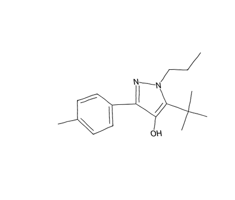 CCCn1nc(-c2ccc(C)cc2)c(O)c1C(C)(C)C